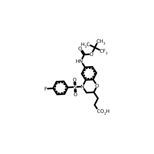 CC(C)(OC(=O)Nc1ccc2c(c1)N(S(=O)(=O)c1ccc(F)cc1)CC(CCC(=O)O)O2)C(F)(F)F